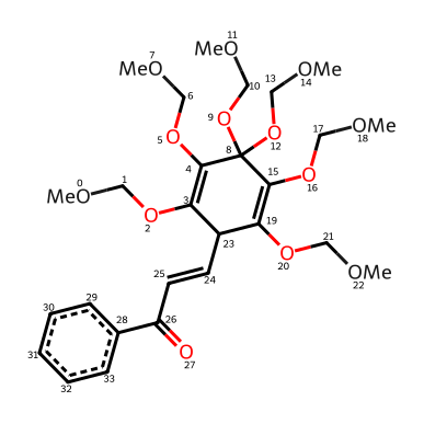 COCOC1=C(OCOC)C(OCOC)(OCOC)C(OCOC)=C(OCOC)C1/C=C/C(=O)c1ccccc1